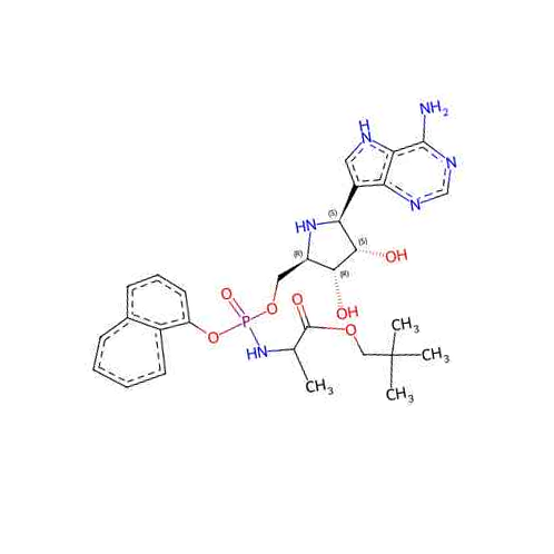 CC(NP(=O)(OC[C@H]1N[C@@H](c2c[nH]c3c(N)ncnc23)[C@H](O)[C@@H]1O)Oc1cccc2ccccc12)C(=O)OCC(C)(C)C